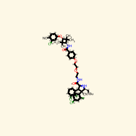 CC(C)(C)C[C@@H]1NC(C(=O)NCCOCCOc2ccc(C(=O)N[C@H]3C(C)(C)[C@H](Oc4ccc(C#N)c(Cl)c4)C3(C)C)cc2)C(c2cccc(Cl)c2F)[C@@]1(C#N)c1ccc(Cl)cc1F